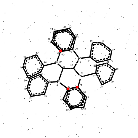 c1ccc(P(c2ccccc2)C(C(P(c2ccccc2)c2ccccc2)P(c2ccccc2)c2ccccc2)P(c2ccccc2)c2ccccc2)cc1